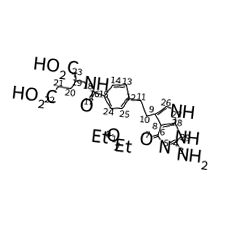 CCOCC.Nc1nc(=O)c2c(CCc3ccc(C(=O)N[C@@H](CCC(=O)O)C(=O)O)cc3)c[nH]c2[nH]1